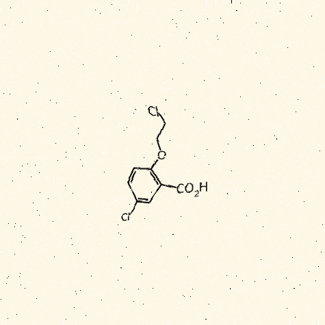 O=C(O)c1cc(Cl)ccc1OCCCl